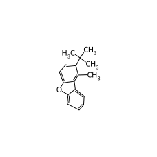 Cc1c(C(C)(C)C)ccc2oc3ccccc3c12